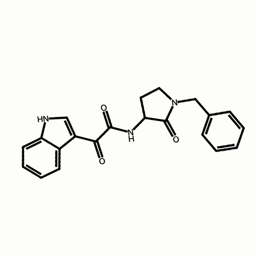 O=C(NC1CCN(Cc2ccccc2)C1=O)C(=O)c1c[nH]c2ccccc12